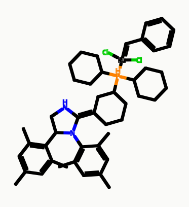 Cc1cc(C)c(C2CNC(=C3CCCC([PH](C4CCCCC4)(C4CCCCC4)[Ru]([Cl])([Cl])=[CH]c4ccccc4)C3)N2c2c(C)cc(C)cc2C)c(C)c1